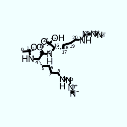 CC(=O)N[C@@H](CCCCNN=[N+]=[N-])C(=O)N[C@@H](CCCCNN=[N+]=[N-])C(=O)O